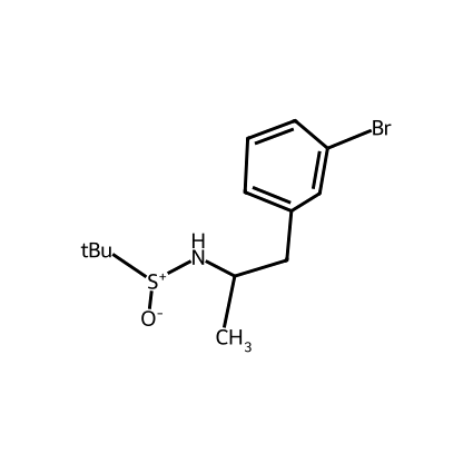 CC(Cc1cccc(Br)c1)N[S+]([O-])C(C)(C)C